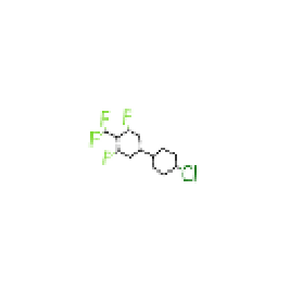 FC(F)C1C(F)CC(C2CCC(Cl)CC2)CC1F